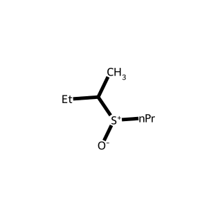 CCC[S+]([O-])C(C)CC